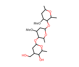 COC1CC(C)OC(C)C1OC1CC(OC)C(OC2CC(CO)C(O)C(C)O2)C(C)O1